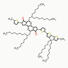 CCCCCCCCC(CCCCCC)Cc1cc2c3cc(-c4ccc(-c5cc6c(s5)-c5sc(C)cc5C6(CCCCCCCC)CCCCCCCC)s4)c(=O)c3c(CC(CCCCCC)CCCCCCCC)cc2c2cc(-c3ccc(C)s3)c(=O)c12